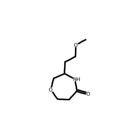 COCCC1COCCC(=O)N1